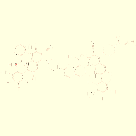 C=CC(=O)N1CCN(c2c(C#N)c(=O)n(C3C(C(C)C)=NC(/C=C\C(=O)N4CCN(c5c(C#N)c(=O)n(-c6c(C)ccnc6C(C)C)c6nc(-c7c(F)c(N)c(F)c(F)c7Cl)c(Cl)cc56)CC4)=C[C@H]3C)c3nc(-c4c(Cl)c(N)c(F)c(Cl)c4Cl)c(Cl)cc23)CC1